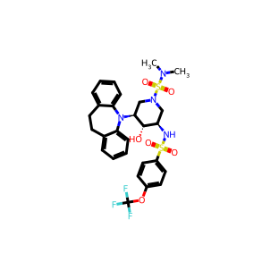 CN(C)S(=O)(=O)N1C[C@@H](NS(=O)(=O)c2ccc(OC(F)(F)F)cc2)[C@H](O)[C@@H](N2c3ccccc3CCc3ccccc32)C1